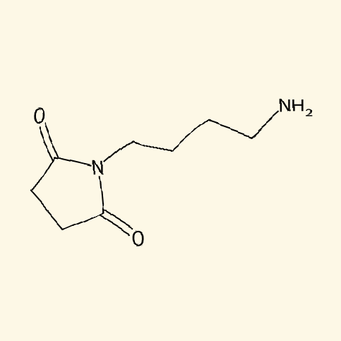 NCCCCN1C(=O)CCC1=O